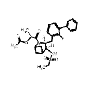 CCS(=O)(=O)N[C@H]1C2CC(C2)N(C(=O)[C@@H](C)OC(C)=O)[C@H]1Cc1cccc(-c2ccccc2)c1F